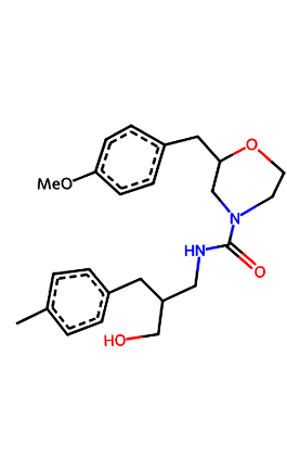 COc1ccc(CC2CN(C(=O)NCC(CO)Cc3ccc(C)cc3)CCO2)cc1